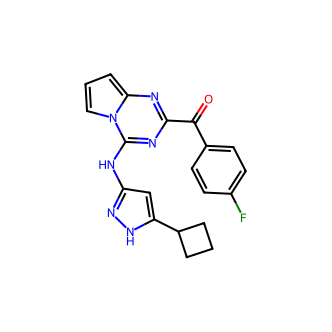 O=C(c1ccc(F)cc1)c1nc(Nc2cc(C3CCC3)[nH]n2)n2cccc2n1